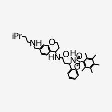 Cc1c(C)c(C)c(S(=O)(=O)NC(CC(=O)NC2CCOc3cc(CNCCC(C)C)ccc32)c2ccccc2)c(C)c1C